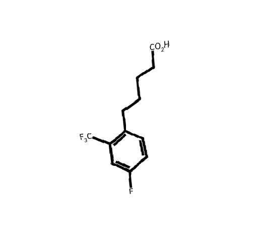 O=C(O)CCCCc1ccc(F)cc1C(F)(F)F